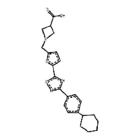 O=C(O)C1CN(Cc2ccc(-c3nc(-c4ccc(C5CCCCC5)cc4)no3)o2)C1